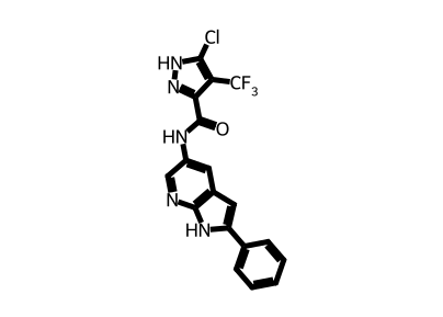 O=C(Nc1cnc2[nH]c(-c3ccccc3)cc2c1)c1n[nH]c(Cl)c1C(F)(F)F